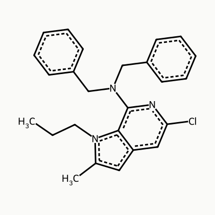 CCCn1c(C)cc2cc(Cl)nc(N(Cc3ccccc3)Cc3ccccc3)c21